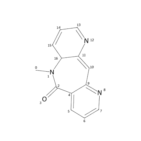 CN1C(=O)c2cccnc2C=C2N=CC=CC21